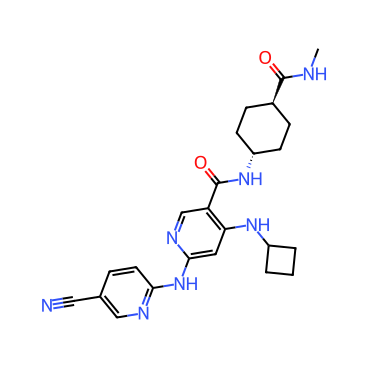 CNC(=O)[C@H]1CC[C@H](NC(=O)c2cnc(Nc3ccc(C#N)cn3)cc2NC2CCC2)CC1